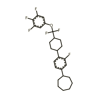 Fc1cc(C2CCCCCC2)ccc1C1CCC(C(F)(F)Oc2cc(F)c(F)c(F)c2)CC1